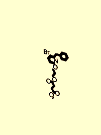 COC(=O)CCC(=O)OCCCOc1ccc(Br)c(Cc2ccccc2)n1